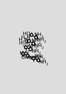 COc1cccc(C)c1-c1ccc(N)cc1N.Cc1cccc(C)c1-c1ccc(N)cc1N.Cc1cccc(O)c1-c1ccc(N)cc1N.Nc1ccc(-c2ccc(N)c(N)c2)c(N)c1.Nc1ccc(-c2ccc(O)c(N)c2)c(N)c1